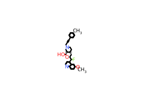 COc1ccc2nccc(C(F)CC[C@@H]3CCN(CC#Cc4ccc(C)cc4)C[C@@H]3C(=O)O)c2c1